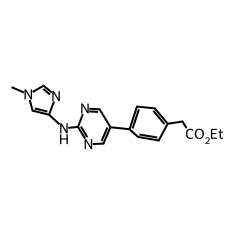 CCOC(=O)Cc1ccc(-c2cnc(Nc3cn(C)cn3)nc2)cc1